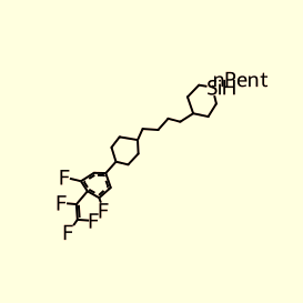 CCCCC[SiH]1CCC(CCCCC2CCC(c3cc(F)c(C(F)=C(F)F)c(F)c3)CC2)CC1